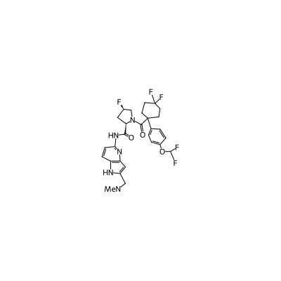 CNCc1cc2nc(NC(=O)[C@H]3C[C@@H](F)CN3C(=O)C3(c4ccc(OC(F)F)cc4)CCC(F)(F)CC3)ccc2[nH]1